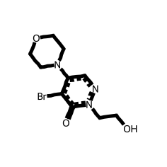 O=c1c(Br)c(N2CCOCC2)cnn1CCO